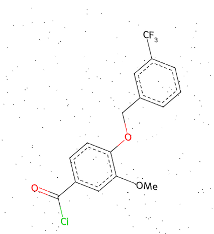 COc1cc(C(=O)Cl)ccc1OCc1cccc(C(F)(F)F)c1